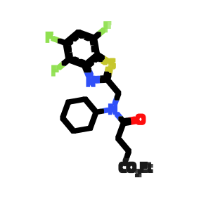 CCOC(=O)CCC(=O)N(Cc1nc2c(F)c(F)cc(F)c2s1)C1CCCCC1